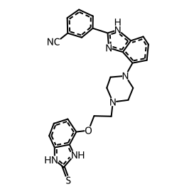 N#Cc1cccc(-c2nc3c(N4CCN(CCOc5cccc6[nH]c(=S)[nH]c56)CC4)cccc3[nH]2)c1